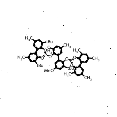 COc1cc(-c2cc(C)cc(C)c2Op2oc3c(C(C)(C)C)cc(C)cc3c3cc(C)cc(C(C)(C)C)c3o2)c(Op2oc3c(C)cc(C)cc3c3cc(C)cc(C)c3o2)c(C(C)(C)C)c1